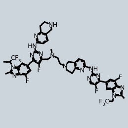 Cc1nc2c(F)cc(-c3nc(Nc4ccc5c(n4)CCN(CCN(C)Cc4nc(Nc6ccc7c(n6)CCNC7)nc(-c6cc(F)c7nc(C)n(C(C)C(F)(F)F)c7c6)c4F)C5)ncc3F)cc2n1CC(F)(F)F